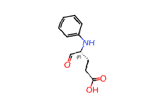 O=C[C@@H](CCC(=O)O)Nc1ccccc1